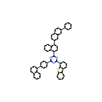 c1ccc(-c2ccc3ccc(-c4ccc(-c5nc(-c6ccc(-c7cccc8ccccc78)cc6)nc(-c6cccc7c6sc6ccccc67)n5)c5ccccc45)cc3c2)cc1